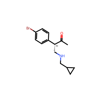 CC(=O)[C@H](CNCC1CC1)c1ccc(Br)cc1